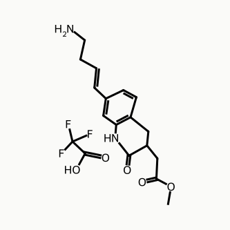 COC(=O)CC1Cc2ccc(C=CCCN)cc2NC1=O.O=C(O)C(F)(F)F